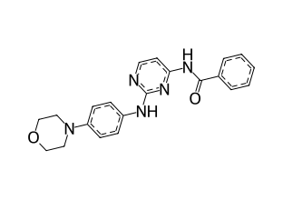 O=C(Nc1ccnc(Nc2ccc(N3CCOCC3)cc2)n1)c1ccccc1